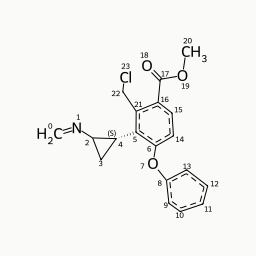 C=NC1C[C@H]1c1c(Oc2ccccc2)ccc(C(=O)OC)c1CCl